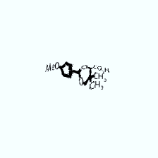 COc1ccc(C2OCC(C)(C)[C@H](C(=O)O)O2)cc1